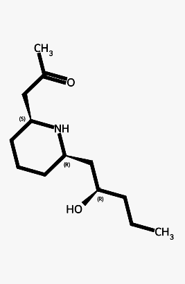 CCC[C@@H](O)C[C@H]1CCC[C@@H](CC(C)=O)N1